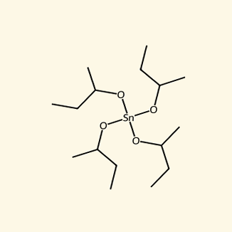 CCC(C)[O][Sn]([O]C(C)CC)([O]C(C)CC)[O]C(C)CC